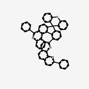 c1ccc(-c2ccc3ccc4ccc(-c5cccc6c5-c5c(ccc7c(-c8ccccc8)nc8ccccc8c57)C65c6ccccc6Sc6ccccc65)nc4c3n2)cc1